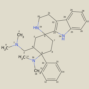 CN(C)CC1CC2(CCC1(c1ccccc1)N(C)C)NCCc1c2[nH]c2ccccc12